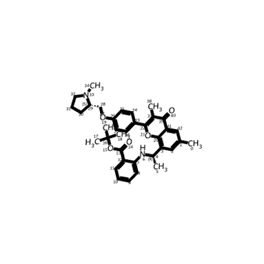 Cc1cc([C@@H](C)Nc2ccccc2C(=O)OC(C)(C)C)c2oc(-c3ccc(OC[C@@H]4CCCN4C)cc3)c(C)c(=O)c2c1